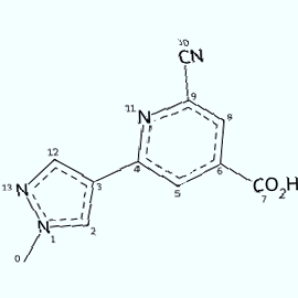 Cn1cc(-c2cc(C(=O)O)cc(C#N)n2)cn1